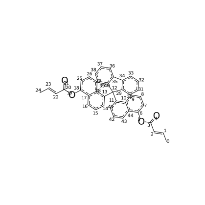 CC=CC(=O)Oc1cccc2c(C3(c4cccc5c(OC(=O)C=CC)cccc45)c4ccccc4-c4ccccc43)cccc12